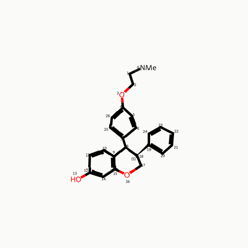 CNCCOc1ccc(C2c3ccc(O)cc3OC[C@@H]2c2ccccc2)cc1